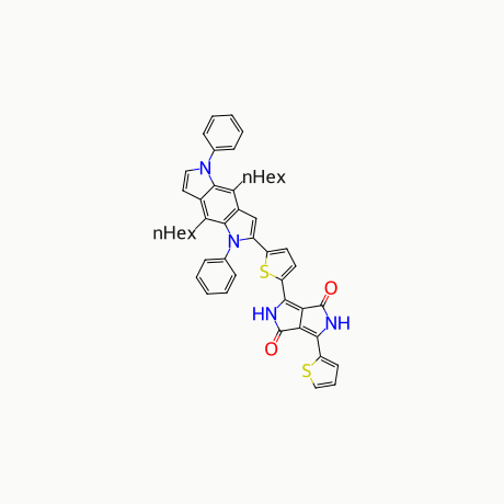 CCCCCCc1c2cc(-c3ccc(C4=C5C(=O)NC(c6cccs6)=C5C(=O)N4)s3)n(-c3ccccc3)c2c(CCCCCC)c2ccn(-c3ccccc3)c12